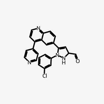 O=CC1C=C(c2ccc3nccc(-c4ccncc4)c3c2)N(c2cccc(Cl)c2)N1